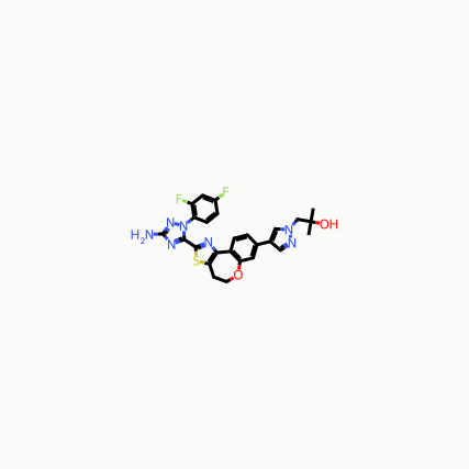 CC(C)(O)Cn1cc(-c2ccc3c(c2)OCCc2sc(-c4nc(N)nn4-c4ccc(F)cc4F)nc2-3)cn1